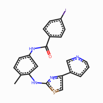 Cc1ccc(NC(=O)c2ccc(I)cc2)cc1Nc1nc(-c2cccnc2)cs1